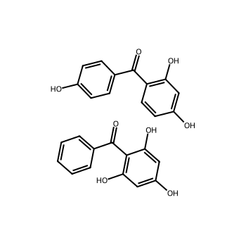 O=C(c1ccc(O)cc1)c1ccc(O)cc1O.O=C(c1ccccc1)c1c(O)cc(O)cc1O